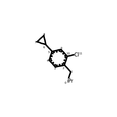 CC(C)Cc1ccc(C2CC2)cc1Cl